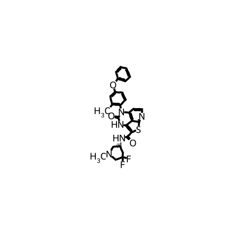 Cc1cc(Oc2ccccc2)ccc1N1C(=O)Nc2c(C(=O)N[C@H]3CN(C)CC(F)(F)C3)sc3nccc1c23